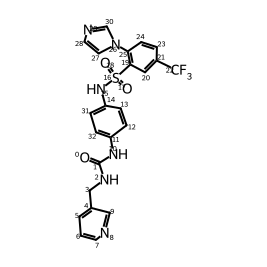 O=C(NCc1cccnc1)Nc1ccc(NS(=O)(=O)c2cc(C(F)(F)F)ccc2-n2ccnc2)cc1